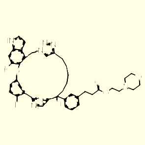 CC1(c2cccc(CCC(=O)OCCN3CCOCC3)c2)CCCCCc2cn(nn2)Cc2c(c(F)cc3[nH]ccc23)Oc2ccc(F)c(c2)-c2ncc1[nH]2